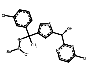 CC(N[S+]([O-])C(C)(C)C)(c1cccc(Cl)c1)c1csc([C@@H](O)c2nccc(Cl)n2)c1